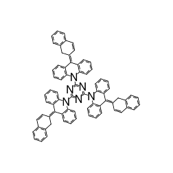 C1=Cc2ccccc2CC1=C1c2ccccc2N(c2nc(N3c4ccccc4C(=C4C=Cc5ccccc5C4)c4ccccc43)nc(N3c4ccccc4C(=C4C=Cc5ccccc5C4)c4ccccc43)n2)c2ccccc21